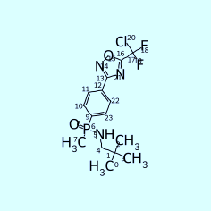 CC(C)(C)CNP(C)(=O)c1ccc(-c2noc(C(F)(F)Cl)n2)cc1